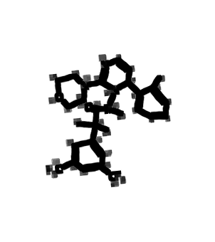 Cc1ccccc1C1C=CN=C(N2CCOCC2)N1N(C)C(=O)C(C)(C)c1cc(C(F)(F)F)cc(C(F)(F)F)c1